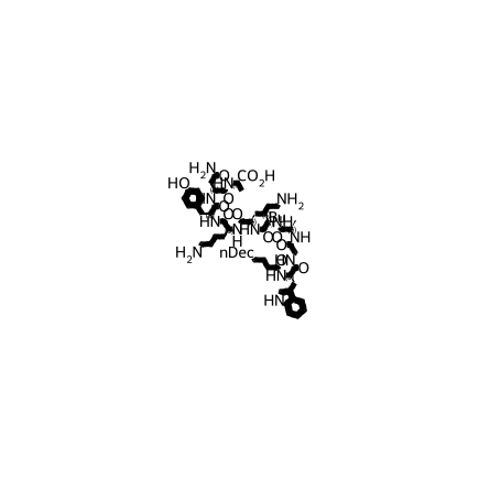 CCCCCCCCCCCCCC(=O)N[C@@H](Cc1c[nH]c2ccccc12)C(=O)NCC(=O)N[C@@H](C)C(=O)N[C@H](C(=O)N[C@@H](CCCCN)C(=O)N[C@@H](CCCCN)C(=O)N[C@@H](Cc1ccc(O)cc1)C(=O)N[C@@H](CC(N)=O)C(=O)N[C@@H](C)C(=O)O)[C@@H](C)CC